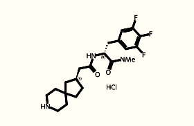 CNC(=O)[C@@H](Cc1cc(F)c(F)c(F)c1)NC(=O)C[C@H]1CCC2(CCNCC2)C1.Cl